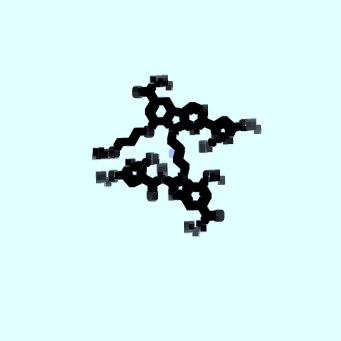 CCn1nc(C)cc1C(=O)Nc1nc2cc(C(N)=O)cc(C)c2n1C/C=C/CN1c2nc(-c3cc(C)nn3CC)ncc2C2CC(C(N)=O)=CC(OCCCOC)C21